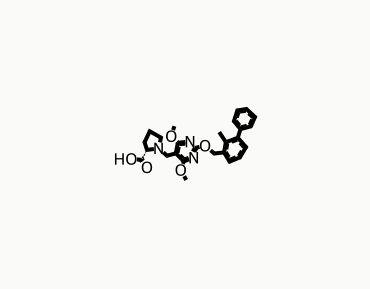 COc1nc(OCc2cccc(-c3ccccc3)c2C)nc(OC)c1CN1CCC[C@H]1C(=O)O